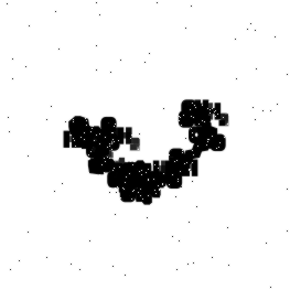 CO[C@H]([C@@H](C)C(=O)N[C@@H](Cc1c[nH]c2ccccc12)C(N)=O)[C@@H]1CCCN1CC[C@H](C)[C@@H]([C@@H](CC=O)OC)N(C)C(=O)[C@@H](NC(=O)[C@H](C(C)C)N(C)CCCC(=O)NNC(=O)CCCCCN1C(=O)CC(SC[C@H](N)C(=O)O)C1=O)C(C)C